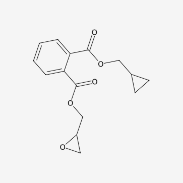 O=C(OCC1CC1)c1ccccc1C(=O)OCC1CO1